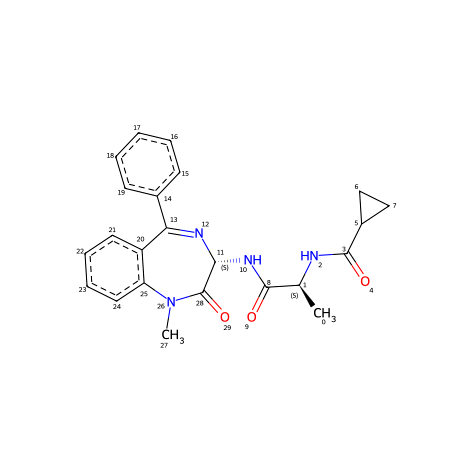 C[C@H](NC(=O)C1CC1)C(=O)N[C@H]1N=C(c2ccccc2)c2ccccc2N(C)C1=O